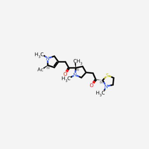 CC(=O)[C@@H]1C=C(CC(=O)[C@]2(C)CC(CC(=O)[C@@H]3SCCN3C)CN2C)CN1C